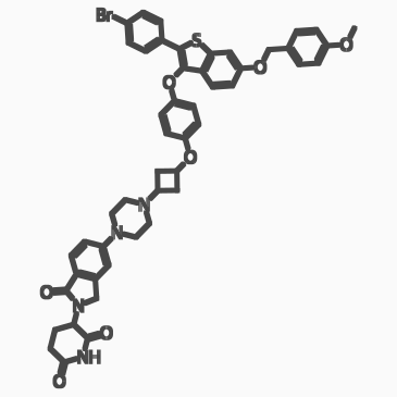 COc1ccc(COc2ccc3c(Oc4ccc(OC5CC(N6CCN(c7ccc8c(c7)CN(C7CCC(=O)NC7=O)C8=O)CC6)C5)cc4)c(-c4ccc(Br)cc4)sc3c2)cc1